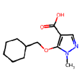 Cn1ncc(C(=O)O)c1OCC1CCCCC1